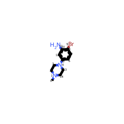 CN1CCN(c2ccc(Br)c(N)c2)CC1